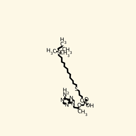 CC(C)C[Si](C)(C)CCCCCCCCCCCCSCCCOP(=O)(O)CO[C@H](C)Cn1cnc2c(N)ncnc21